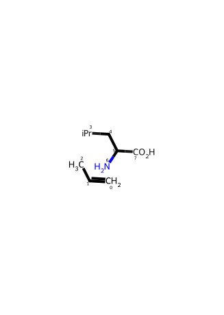 C=CC.CC(C)CC(N)C(=O)O